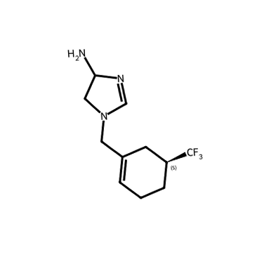 NC1CN(CC2=CCC[C@H](C(F)(F)F)C2)C=N1